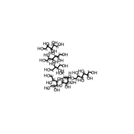 OCC(O)C(O)CO.OC[C@@H](O)[C@@H](O)[C@H](O)[C@@H](O)CO.OC[C@@H](O)[C@@H](O)[C@H](O)[C@H](O)CO.OC[C@@H](O)[C@@H](O[C@H]1O[C@H](CO)[C@@H](O)[C@H](O)[C@H]1O)[C@H](O)[C@@H](O)CO.OC[C@@H](O)[C@H](O)[C@@H](O)CO